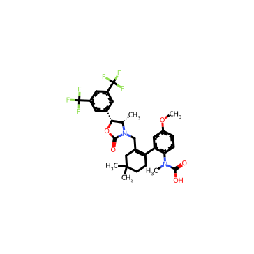 COc1ccc(N(C)C(=O)O)c(C2=C(CN3C(=O)O[C@H](c4cc(C(F)(F)F)cc(C(F)(F)F)c4)[C@@H]3C)CC(C)(C)CC2)c1